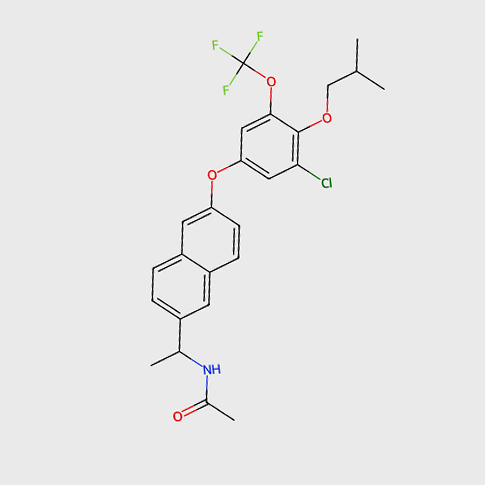 CC(=O)NC(C)c1ccc2cc(Oc3cc(Cl)c(OCC(C)C)c(OC(F)(F)F)c3)ccc2c1